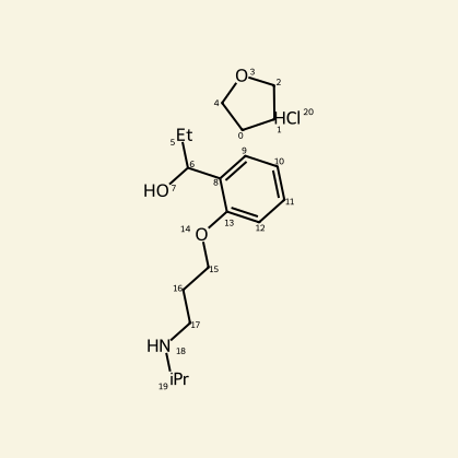 C1CCOC1.CCC(O)c1ccccc1OCCCNC(C)C.Cl